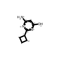 Nc1cc(O)nc(C2CCC2)n1